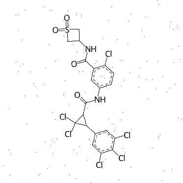 O=C(NC1CS(=O)(=O)C1)c1cc(NC(=O)C2C(c3cc(Cl)c(Cl)c(Cl)c3)C2(Cl)Cl)ccc1Cl